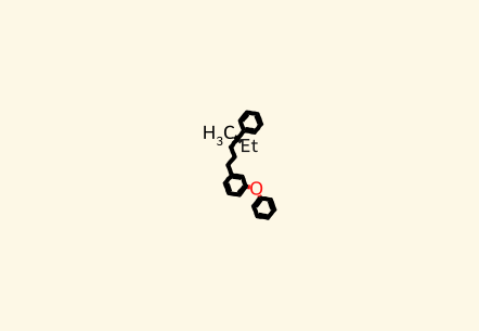 CCC(C)(CCCc1cccc(Oc2ccccc2)c1)c1ccccc1